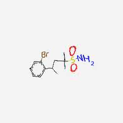 CC(CC(C)(C)S(N)(=O)=O)c1ccccc1Br